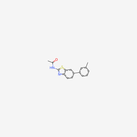 CC(=O)Nc1nc2ccc(-c3cccc(C)c3)cc2s1